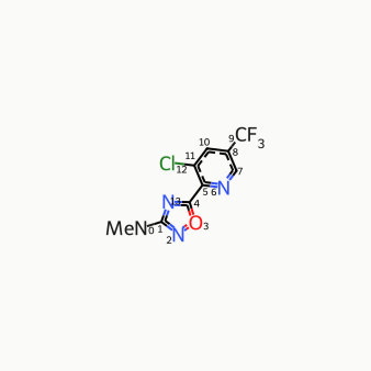 CNc1noc(-c2ncc(C(F)(F)F)cc2Cl)n1